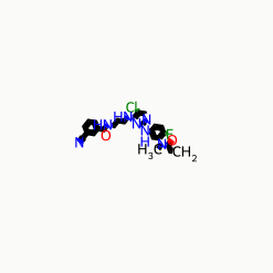 C=CC(=O)N(C)c1cc(Nc2ncc(Cl)c(NCCCNC(=O)c3cccc(C#N)c3)n2)ccc1F